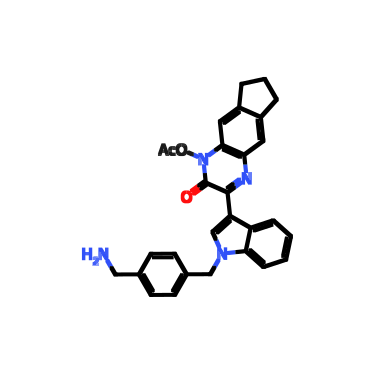 CC(=O)On1c(=O)c(-c2cn(Cc3ccc(CN)cc3)c3ccccc23)nc2cc3c(cc21)CCC3